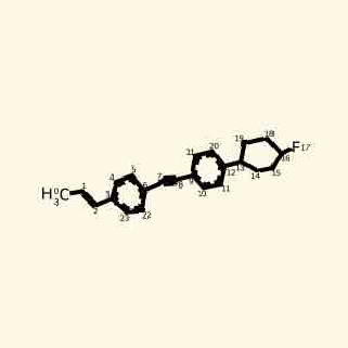 CC=Cc1ccc(C#Cc2ccc(C3CCC(F)CC3)cc2)cc1